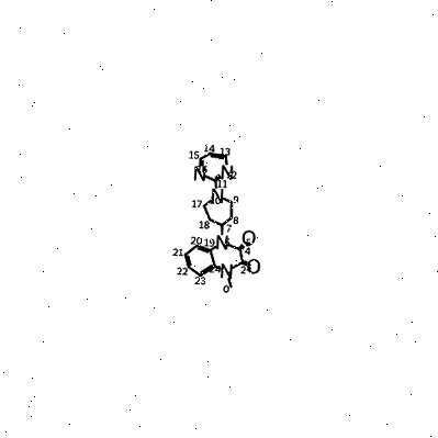 Cn1c(=O)c(=O)n(C2CCN(c3ncccn3)CC2)c2ccccc21